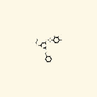 C[C@H](CO)Nc1cc(NS(=O)(=O)c2ccc(F)c(F)c2F)nc(SCc2ccccc2)n1